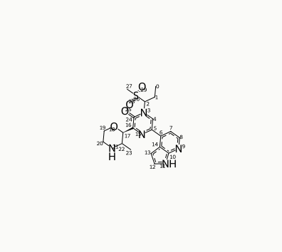 CCC(n1cc(-c2ccnc3[nH]ccc23)nc([C@@H]2OCCNC2C)c1=O)S(C)(=O)=O